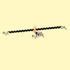 CCCCCCCCCCCCCCCCCCCC[PH-](CCCCCCCCCCCCCCCCCCCC)OCC[N+](C)(C)C